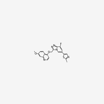 COc1ccc2c(OCc3nnc4c(F)cc(-c5cnc(C)s5)cn34)ccnc2c1